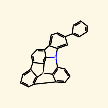 c1ccc(-c2ccc3c4ccc5c6c4n(c3c2)-c2cccc3c2B6c2c-3cccc2-5)cc1